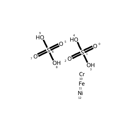 O=S(=O)(O)O.O=S(=O)(O)O.[Cr].[Fe].[Ni]